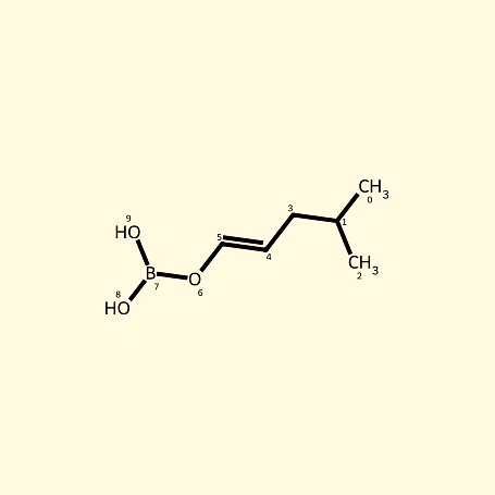 CC(C)C/C=C/OB(O)O